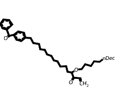 C=CC(=O)C(CCCCCCCCCCCCc1ccc(C(=O)c2ccccc2)cc1)OCCCCCCCCCCCCCCC